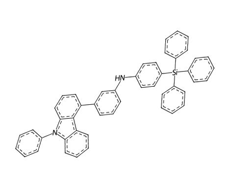 c1ccc(-n2c3ccccc3c3c(-c4cccc(Nc5ccc([Si](c6ccccc6)(c6ccccc6)c6ccccc6)cc5)c4)cccc32)cc1